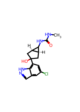 CNC(=O)NC1[C@H]2CC(O)(c3cc(Cl)cc4cn[nH]c34)C[C@@H]12